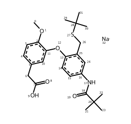 COc1ccc(CC(=O)O)cc1Oc1ccc(NC(=O)C(C)(C)C)cc1CSC(C)(C)C.[Na]